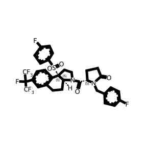 O=C([C@@H]1CCC(=O)N1Cc1ccc(F)cc1)N1CC[C@]2(S(=O)(=O)c3ccc(F)cc3)c3ccc(C(F)(C(F)(F)F)C(F)(F)F)cc3CC[C@H]12